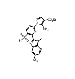 CCOC(=O)c1cnn(-c2ncc(S(=O)(=O)CC)c(-c3nc4cc(C(F)(F)F)cnc4n3C)n2)c1N